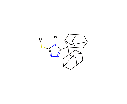 CCSc1nnc(C2(C34CC5CC(CC(C5)C3)C4)C3CC4CC(C3)CC2C4)n1CC